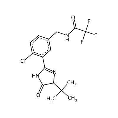 CC(C)(C)C1N=C(c2cc(CNC(=O)C(F)(F)F)ccc2Cl)NC1=O